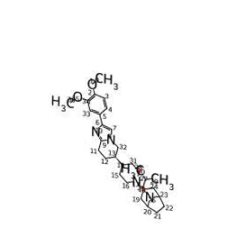 COc1ccc(-c2cn3c(n2)CC[C@H](C2CCN(C4CC5CCC(C4)N5CC(C)C)CC2)C3)cc1OC